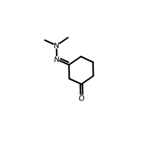 CN(C)N=C1CCCC(=O)C1